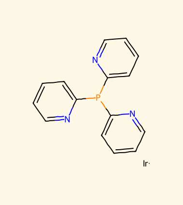 [Ir].c1ccc(P(c2ccccn2)c2ccccn2)nc1